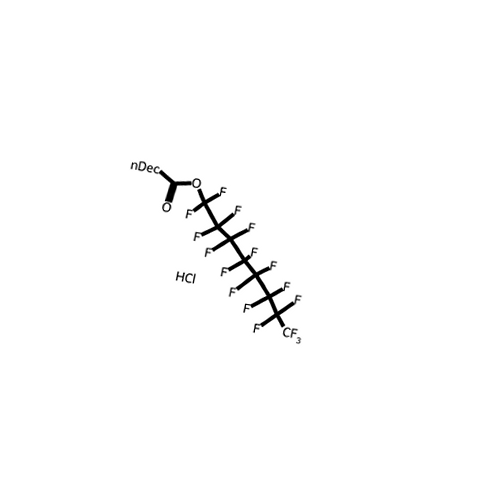 CCCCCCCCCCC(=O)OC(F)(F)C(F)(F)C(F)(F)C(F)(F)C(F)(F)C(F)(F)C(F)(F)C(F)(F)F.Cl